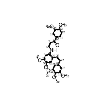 COc1cc(N/C=C\C(=O)c2ccc(OC)c(OC)c2)c(/C=C\c2cc(OC)c(OC)c(OC)c2)cc1Cl